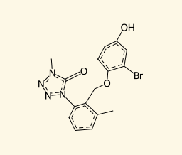 Cc1cccc(-n2nnn(C)c2=O)c1COc1ccc(O)cc1Br